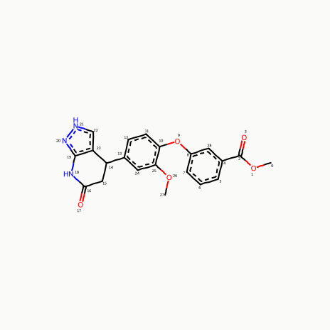 COC(=O)c1cccc(Oc2ccc(C3CC(=O)Nc4n[nH]cc43)cc2OC)c1